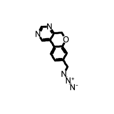 [N-]=[N+]=NCc1ccc2c(c1)OCc1ncncc1-2